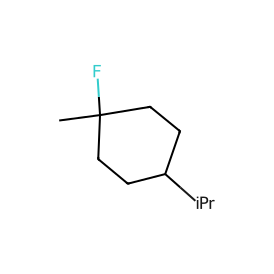 CC(C)C1CCC(C)(F)CC1